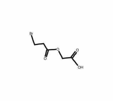 O=C(O)COC(=O)CCBr